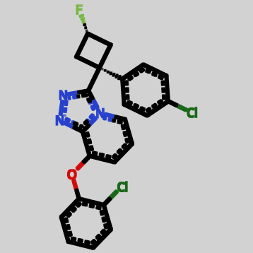 F[C@H]1C[C@](c2ccc(Cl)cc2)(c2nnc3c(Oc4ccccc4Cl)cccn32)C1